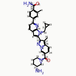 Cc1cc(-c2ccc3cc(-c4nn5cc(C(=O)N6CCC[C@@H](N)C6)ccc5c4C)n(CC4CC4)c3n2)ccc1C(N)=O